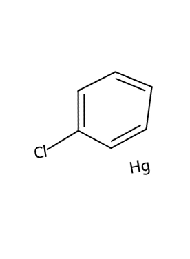 Clc1ccccc1.[Hg]